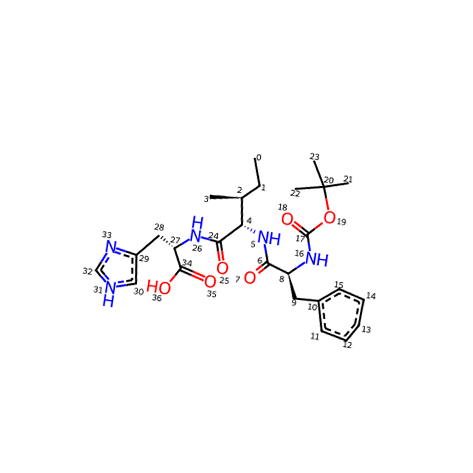 CC[C@H](C)[C@H](NC(=O)[C@H](Cc1ccccc1)NC(=O)OC(C)(C)C)C(=O)N[C@@H](Cc1c[nH]cn1)C(=O)O